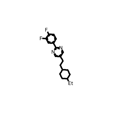 CCC1CCC(CCc2cnc(-c3ccc(F)c(F)c3)nc2)CC1